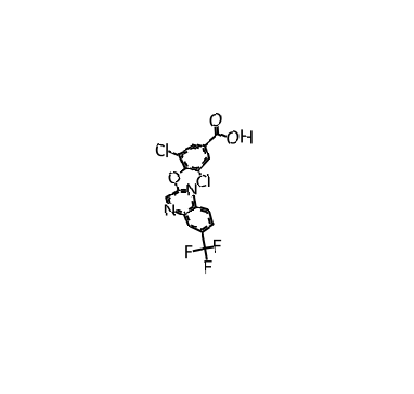 O=C(O)c1cc(Cl)c(Oc2cnc3cc(C(F)(F)F)ccc3n2)c(Cl)c1